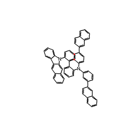 c1cc(-c2ccc3ccccc3c2)cc(N(c2ccc(-c3ccc4ccccc4c3)cc2)c2ccccc2-c2ccccc2-n2c3ccccc3c3cc4ccccc4cc32)c1